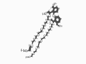 CC(C)Cc1cccc(Oc2cccc(CC(C)C)c2C(CO)OCCOCCOCCOCCOCCOCCOCCO)c1C(CO)OCCOCCOCCOCCOCCOCCOCCO